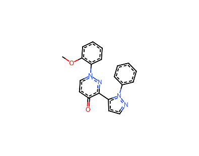 COc1ccccc1-n1ccc(=O)c(-c2ccnn2-c2ccccc2)n1